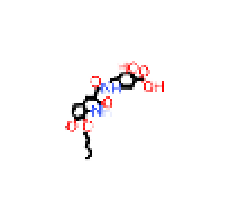 CCCCCOc1c(OC)ccc2cc(C(=O)NCc3ccc(C(=O)O)c(O)c3)c(=O)[nH]c12